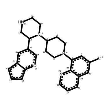 Clc1cc(N2CCC(N3CCNCC3c3coc4cccc-4c3)CC2)c2ncccc2c1